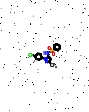 O=S(=O)(Nc1cc(C(F)(F)F)nn1-c1ccc(Cl)cc1)c1ccccc1